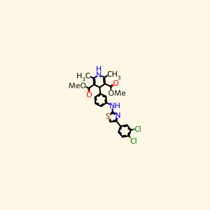 COC(=O)C1=C(C)NC(C)=C(C(=O)OC)C1c1cccc(Nc2nc(-c3ccc(Cl)c(Cl)c3)cs2)c1